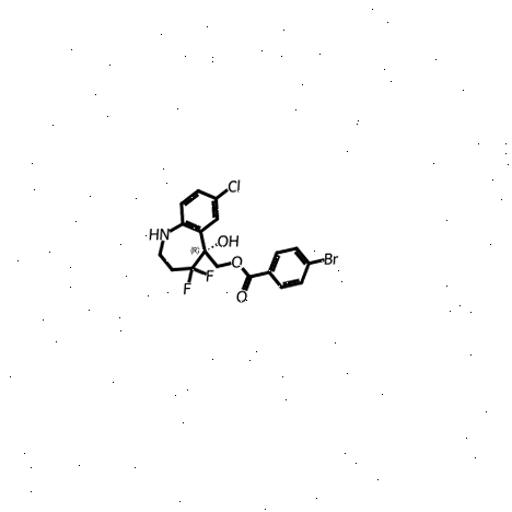 O=C(OC[C@]1(O)c2cc(Cl)ccc2NCCC1(F)F)c1ccc(Br)cc1